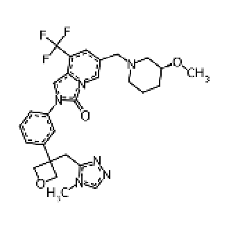 CO[C@H]1CCCN(Cc2cc(C(F)(F)F)c3cn(-c4cccc(C5(Cc6nncn6C)COC5)c4)c(=O)n3c2)C1